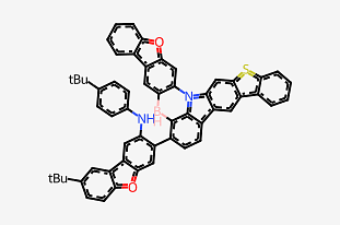 CC(C)(C)c1ccc(Nc2cc3c(cc2-c2ccc4c5cc6c(cc5n5c4c2Bc2cc4c(cc2-5)oc2ccccc24)sc2ccccc26)oc2ccc(C(C)(C)C)cc23)cc1